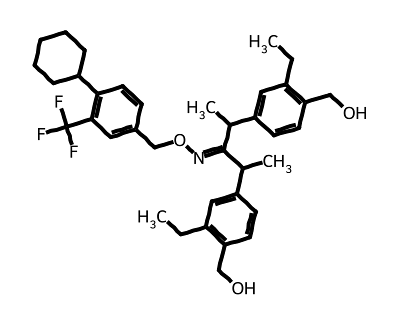 CCc1cc(C(C)C(=NOCc2ccc(C3CCCCC3)c(C(F)(F)F)c2)C(C)c2ccc(CO)c(CC)c2)ccc1CO